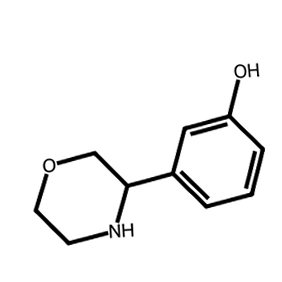 Oc1cccc(C2COCCN2)c1